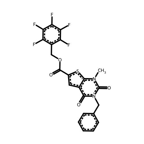 Cn1c(=O)n(Cc2ccccc2)c(=O)c2cc(C(=O)OCc3c(F)c(F)c(F)c(F)c3F)sc21